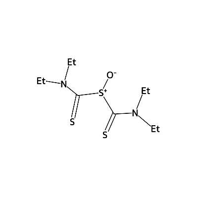 CCN(CC)C(=S)[S+]([O-])C(=S)N(CC)CC